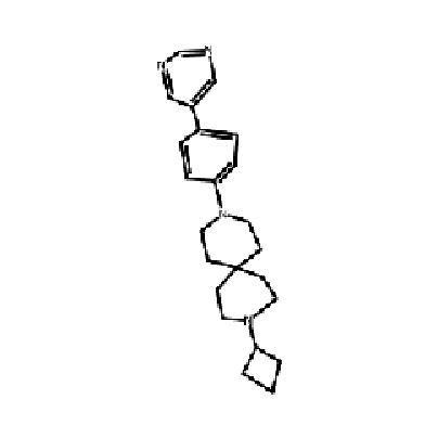 c1ncc(-c2ccc(N3CCC4(CC3)CCN(C3CCC3)CC4)cc2)cn1